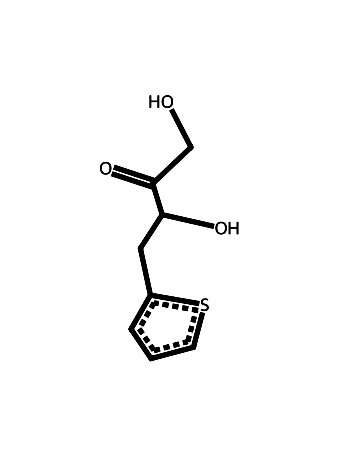 O=C(CO)C(O)Cc1cccs1